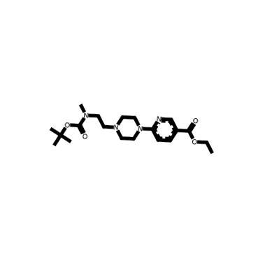 CCOC(=O)c1ccc(N2CCN(CCN(C)C(=O)OC(C)(C)C)CC2)nc1